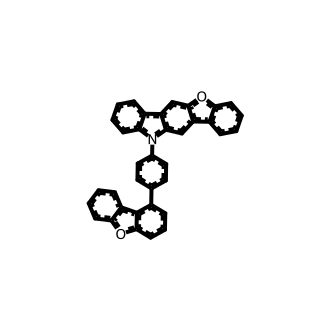 c1ccc2c(c1)oc1cc3c4ccccc4n(-c4ccc(-c5cccc6oc7ccccc7c56)cc4)c3cc12